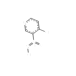 C/N=[SH](=O)/c1[c]nccc1C